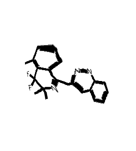 Cc1cccc2c1C(F)(F)C(C)(C)N=C2c1cc2ccccc2nn1